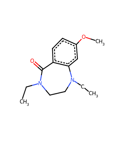 CCN1CCN(CC)c2cc(OC)ccc2C1=O